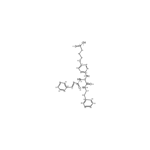 O=C(O)CCCOc1ccc(NC(NC(=O)/C=C/c2ccccc2)C(=O)NCCc2ccccc2)cc1